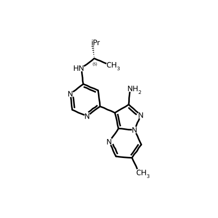 Cc1cnc2c(-c3cc(N[C@@H](C)C(C)C)ncn3)c(N)nn2c1